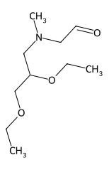 CCOCC(CN(C)CC=O)OCC